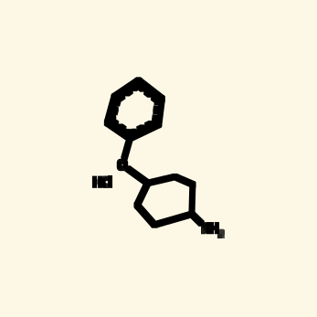 Cl.NC1CCC(Oc2ccccc2)CC1